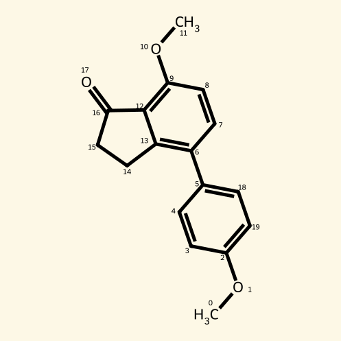 COc1ccc(-c2ccc(OC)c3c2CCC3=O)cc1